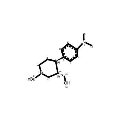 CCCCN1CC[C@@H](c2ccc(N(C)C)cc2)[C@H](CO)C1